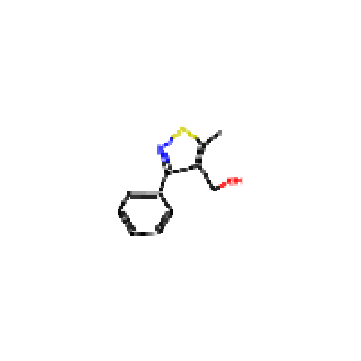 Cc1snc(-c2ccccc2)c1CO